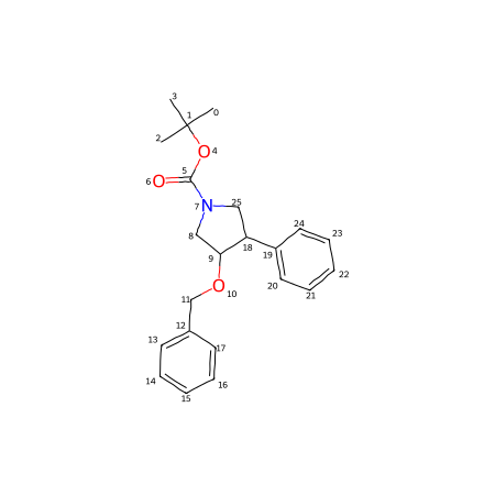 CC(C)(C)OC(=O)N1CC(OCc2ccccc2)C(c2ccccc2)C1